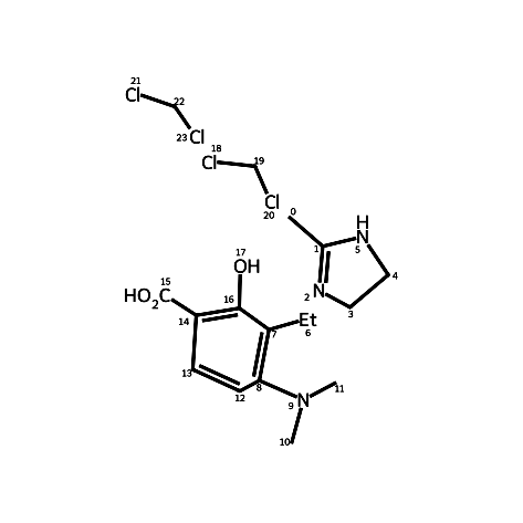 CC1=NCCN1.CCc1c(N(C)C)ccc(C(=O)O)c1O.ClCCl.ClCCl